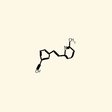 C#Cc1cccc(C=Cc2cccc(C)n2)c1